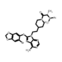 CC(=O)N(C)[C@@H](C)C(=O)N1CCC(CCn2c(Sc3cc4c(cc3Br)OCO4)nc3c(N)ncnc32)CC1